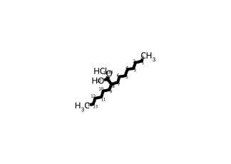 CCCCCCCCC(CCCCCC)C(=O)O.Cl